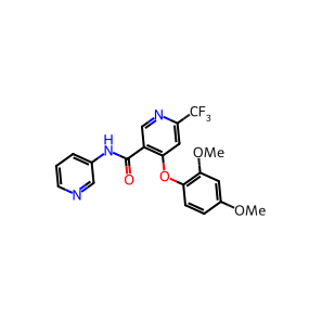 COc1ccc(Oc2cc(C(F)(F)F)ncc2C(=O)Nc2cccnc2)c(OC)c1